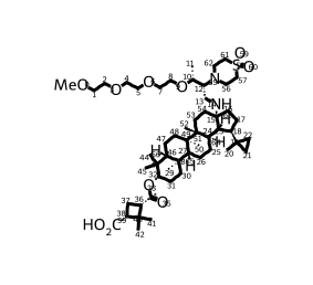 COCCOCCOCCO[C@H](C)[C@@H](CN[C@]12CC[C@@H](C3(C)CC3)[C@@H]1[C@H]1CC[C@@H]3[C@@]4(C)CC[C@H](OC(=O)[C@H]5C[C@@H](C(=O)O)C5(C)C)C(C)(C)[C@@H]4CC[C@@]3(C)[C@]1(C)CC2)N1CCS(=O)(=O)CC1